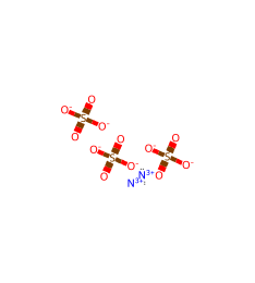 O=S(=O)([O-])[O-].O=S(=O)([O-])[O-].O=S(=O)([O-])[O-].[N+3].[N+3]